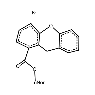 CCCCCCCCCOC(=O)c1cccc2c1Cc1ccccc1O2.[K]